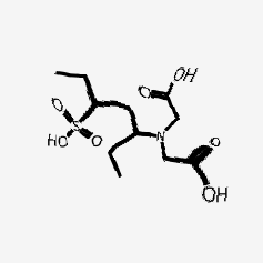 CCC(CC(CC)S(=O)(=O)O)N(CC(=O)O)CC(=O)O